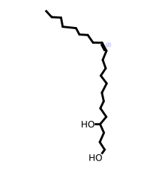 CCCCCCCC/C=C\CCCCCCCCC(O)CCCO